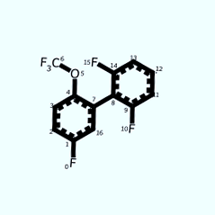 Fc1ccc(OC(F)(F)F)c(-c2c(F)c[c]cc2F)c1